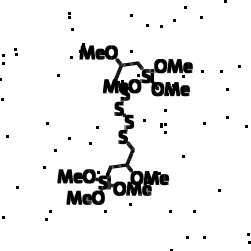 COC(CSSSSCC(C[Si](OC)(OC)OC)OC)C[Si](OC)(OC)OC